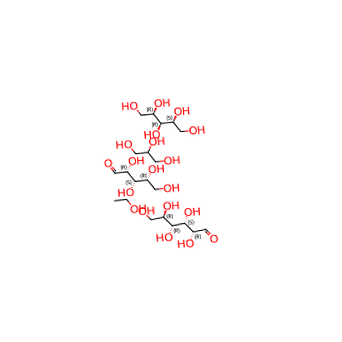 CCO.O=C[C@H](O)[C@@H](O)[C@H](O)CO.O=C[C@H](O)[C@@H](O)[C@H](O)[C@H](O)CO.OCC(O)CO.OC[C@@H](O)[C@H](O)[C@@H](O)CO